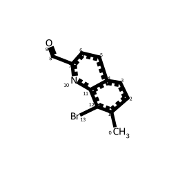 Cc1ccc2ccc(C=O)nc2c1Br